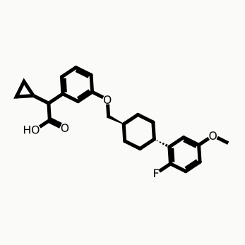 COc1ccc(F)c([C@H]2CC[C@H](COc3cccc(C(C(=O)O)C4CC4)c3)CC2)c1